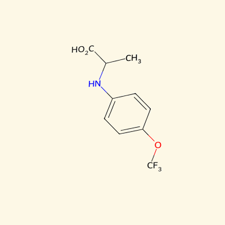 CC(Nc1ccc(OC(F)(F)F)cc1)C(=O)O